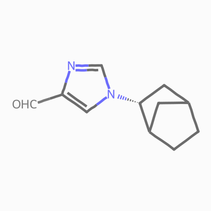 O=Cc1cn([C@@H]2CC3CCC2C3)cn1